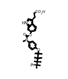 CC(C)C(C)(C)C(C)(C)C(C)(C)C(C)(C)Oc1ccc(N(C)C(=O)Oc2ccc3c(CCC(=O)O)c[nH]c3c2)cc1